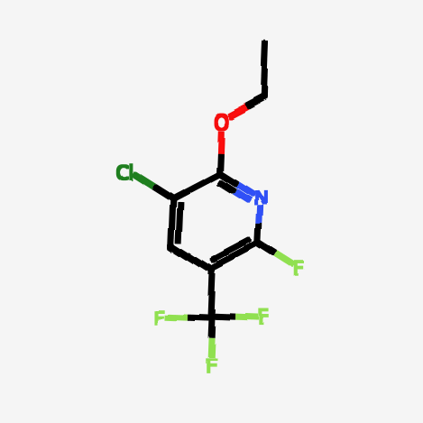 CCOc1nc(F)c(C(F)(F)F)cc1Cl